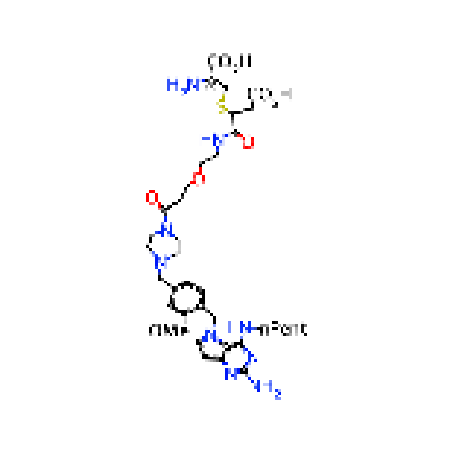 CCCCCNc1nc(N)nc2ccn(Cc3ccc(CN4CCN(C(=O)CCOCCNC(=O)C(CC(=O)O)SC[C@H](N)C(=O)O)CC4)cc3OC)c12